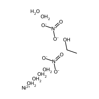 CCO.O.O.O.O.O.O.O=[N+]([O-])[O-].O=[N+]([O-])[O-].[Ni+2]